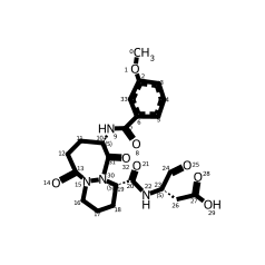 COc1cccc(C(=O)N[C@H]2CCC(=O)N3CCC[C@@H](C(=O)N[C@H](C=O)CC(=O)O)N3C2=O)c1